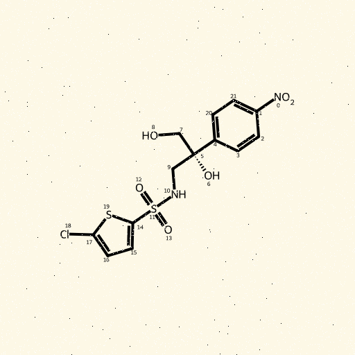 O=[N+]([O-])c1ccc([C@](O)(CO)CNS(=O)(=O)c2ccc(Cl)s2)cc1